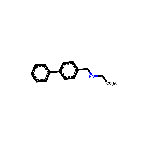 CCOC(=O)CNCc1ccc(-c2ccccc2)cc1